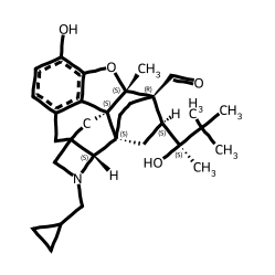 CC(C)(C)[C@@](C)(O)[C@H]1C[C@@]23CC[C@]1(C=O)[C@@]1(C)Oc4c(O)ccc5c4[C@]21CC1(C5)CN(CC2CC2)[C@H]13